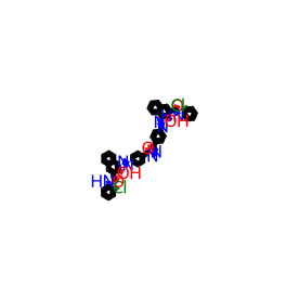 O=C(Nc1ccccc1Cl)c1cc2ccccc2c(N=Nc2ccc(-c3nnc(-c4ccc(N=Nc5c(O)c(C(=O)Nc6ccccc6Cl)cc6ccccc56)cc4)o3)cc2)c1O